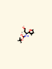 C[C@H](C=O)[C@H](NC(=O)OC(C)(C)C)c1ccco1